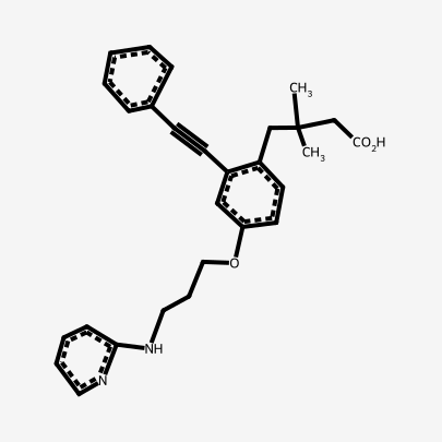 CC(C)(CC(=O)O)Cc1ccc(OCCCNc2ccccn2)cc1C#Cc1ccccc1